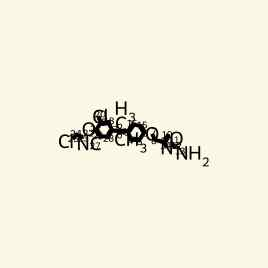 CC(C)(c1ccc(OCc2coc(N)n2)cc1)c1cc(Cl)c(OCCCl)c(C#N)c1